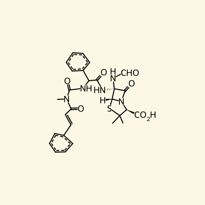 CN(C(=O)C=Cc1ccccc1)C(=O)NC(C(=O)N[C@]1(NC=O)C(=O)N2[C@@H](C(=O)O)C(C)(C)S[C@@H]21)c1ccccc1